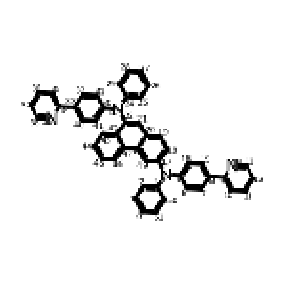 c1ccc(N(c2ccc(-c3ccccn3)cc2)c2ccc3cc(N(c4ccccc4)c4ccc(-c5ccccn5)cc4)c4ccccc4c3c2)cc1